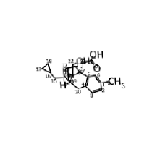 Cc1ccc2c(c1)[C@]1(CC(=O)O)CCN(CC3CC3)[C@H](C2)[C@@H]1CO